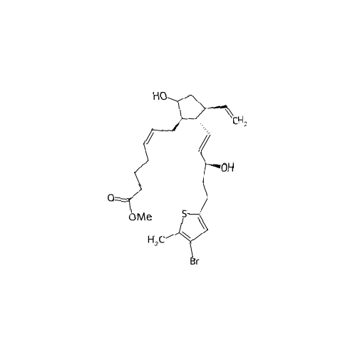 C=C[C@@H]1CC(O)[C@H](C/C=C\CCCC(=O)OC)[C@H]1/C=C/[C@@H](O)CCc1cc(Br)c(C)s1